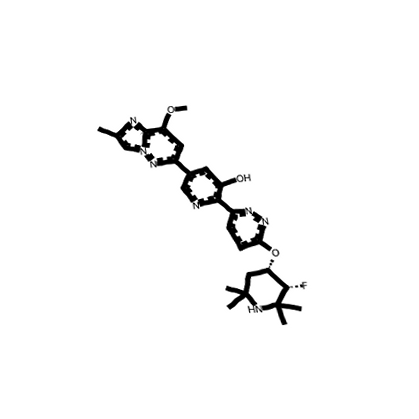 COc1cc(-c2cnc(-c3ccc(O[C@H]4CC(C)(C)NC(C)(C)[C@H]4F)nn3)c(O)c2)nn2cc(C)nc12